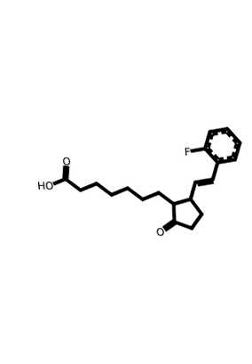 O=C(O)CCCCCCC1C(=O)CCC1C=Cc1ccccc1F